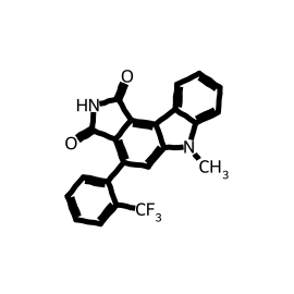 Cn1c2ccccc2c2c3c(c(-c4ccccc4C(F)(F)F)cc21)C(=O)NC3=O